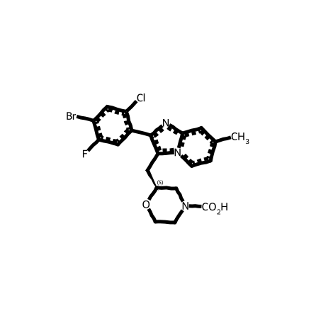 Cc1ccn2c(C[C@H]3CN(C(=O)O)CCO3)c(-c3cc(F)c(Br)cc3Cl)nc2c1